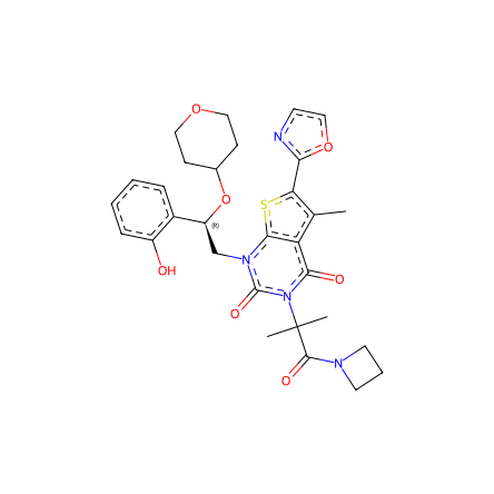 Cc1c(-c2ncco2)sc2c1c(=O)n(C(C)(C)C(=O)N1CCC1)c(=O)n2C[C@H](OC1CCOCC1)c1ccccc1O